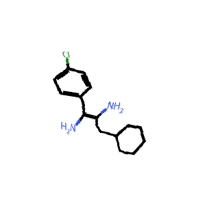 NC(CC1CCCCC1)C(N)c1ccc(Cl)cc1